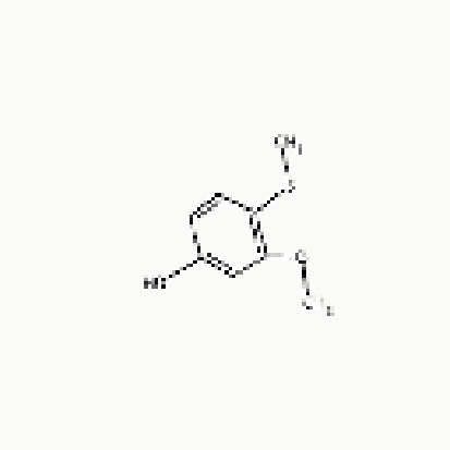 COc1cc(O)ccc1SC